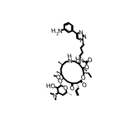 C=CC[C@@H]1C(=O)C[C@@H](O[C@@H]2O[C@H](C)CC(N(C)C)C2O)[C@](C)(OC)C[C@@H](C)CN[C@H](C)[C@H]2N(CCCCn3cc(-c4cccc(N)c4)nn3)C(=O)O[C@]2(C)[C@@H](CC)OC1=O